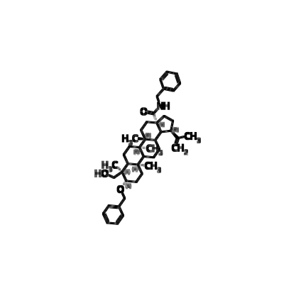 C=C(C)[C@@H]1CC[C@]2(C(=O)NCc3ccccc3)CC[C@]3(C)C(CCC4[C@@]5(C)CC[C@H](OCc6ccccc6)[C@@](C)(CO)C5CC[C@]43C)C12